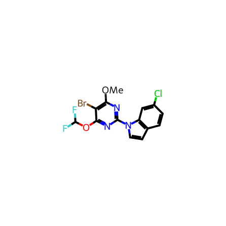 COc1nc(-n2ccc3ccc(Cl)cc32)nc(OC(F)F)c1Br